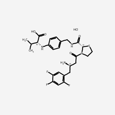 CC(C)[C@@H](Nc1ccc(CNC(=O)[C@@H]2SCCN2C(=O)C[C@H](N)Cc2cc(F)c(F)cc2F)cc1)C(=O)O.Cl